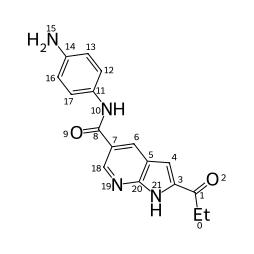 CCC(=O)c1cc2cc(C(=O)Nc3ccc(N)cc3)cnc2[nH]1